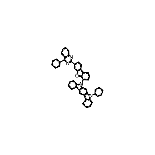 c1ccc(-c2nc(-c3ccc4c(c3)oc3c(-n5c6ccccc6c6cc7c8ccccc8n(-c8ccccc8)c7cc65)cccc34)nc3ccccc23)cc1